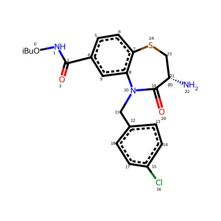 CC(C)CONC(=O)c1ccc2c(c1)N(Cc1ccc(Cl)cc1)C(=O)[C@@H](N)CS2